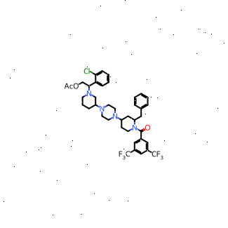 CC(=O)OCC(c1ccccc1Cl)N1CCCC(N2CCN(C3CCN(C(=O)c4cc(C(F)(F)F)cc(C(F)(F)F)c4)C(Cc4ccccc4)C3)CC2)C1